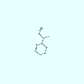 CC(C)CC(C)C1CCCCC1